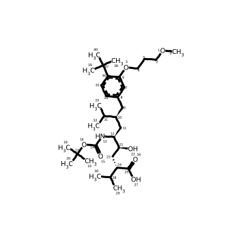 COCCCOc1cc(C[C@@H](C[C@H](NC(=O)OC(C)(C)C)[C@@H](O)C[C@H](C(=O)O)C(C)C)C(C)C)ccc1C(C)(C)C